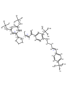 C=C(/N=C(\C)[C@@H]1CCCN1/C(=N/C(=O)OC(C)(C)C)NC(=O)OC(C)(C)C)c1ccc(OCC/C=C/c2ccc(C(F)(F)F)cc2)c(C(F)(F)F)c1